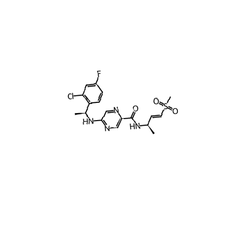 C[C@H](/C=C/S(C)(=O)=O)NC(=O)c1cnc(N[C@@H](C)c2ccc(F)cc2Cl)cn1